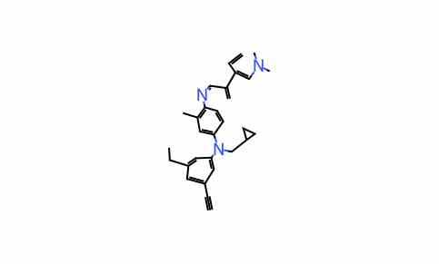 C#Cc1cc(CC)cc(N(CC2CC2)c2ccc(/N=C\C(=C)/C(C=C)=C/N(C)C)c(C)c2)c1